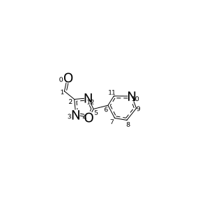 O=Cc1noc(-c2cccnc2)n1